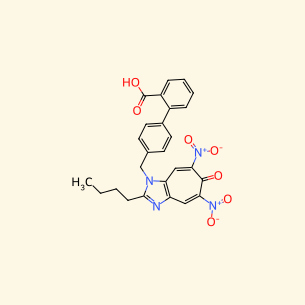 CCCCc1nc2cc([N+](=O)[O-])c(=O)c([N+](=O)[O-])cc2n1Cc1ccc(-c2ccccc2C(=O)O)cc1